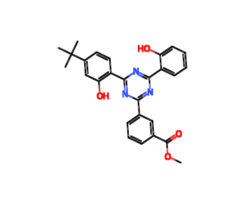 COC(=O)c1cccc(-c2nc(-c3ccccc3O)nc(-c3ccc(C(C)(C)C)cc3O)n2)c1